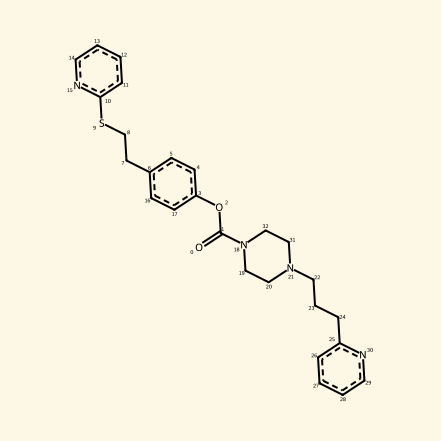 O=C(Oc1ccc(CCSc2ccccn2)cc1)N1CCN(CCCc2ccccn2)CC1